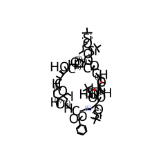 C=C1C(C)C[C@H]2CC[C@@H]3O[C@@H](CCC(OC(=O)c4ccccc4)/C=C/C(O[Si](C)(C)C(C)(C)C)C4O[C@H]5CC[C@H](CC(=O)CC6[C@H](CC1O)O[C@H](CC(CO[Si](C)(C)C(C)(C)C)O[Si](C)(C)C(C)(C)C)[C@@H]6OC)OC5[C@H](O)C4O[Si](C)(C)C(C)(C)C)CC3(CI)O2